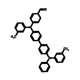 Cc1cccc(N(C2=CCC(C=O)C=C2)c2ccc(-c3ccc(N(c4ccccc4)c4cccc(C)c4)cc3)cc2)c1